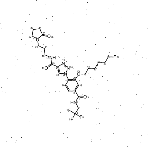 O=C(NCC(F)(F)F)c1ccc(-n2cc(C(=O)NCCCN3CCCC3=O)nn2)c(OCCCCCCF)c1